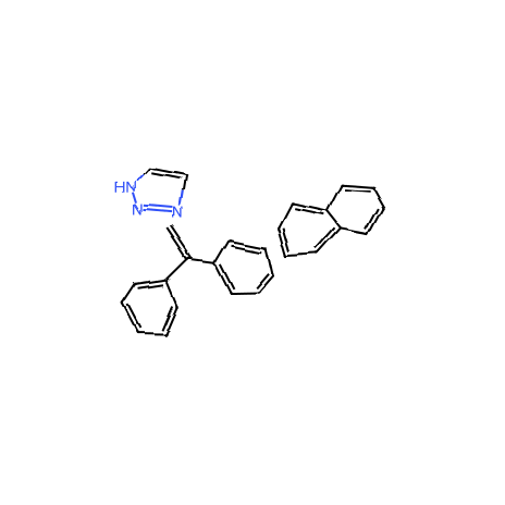 C=C(c1ccccc1)c1ccccc1.c1c[nH]nn1.c1ccc2ccccc2c1